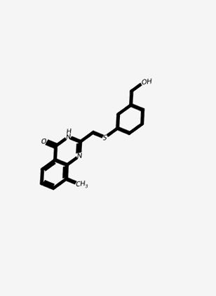 Cc1cccc2c(=O)[nH]c(CSC3CCCC(CO)C3)nc12